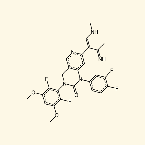 CN/C=C(\C(C)=N)c1cc2c(cn1)CN(c1c(F)c(OC)cc(OC)c1F)C(=O)N2c1ccc(F)c(F)c1